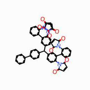 O=C1C=CC(=O)N1c1ccccc1-c1cc(C(c2ccc(-c3ccccc3)cc2)c2ccc(N3C(=O)C=CC3=O)c(-c3ccccc3N3C(=O)C=CC3=O)c2)ccc1N1C(=O)C=CC1=O